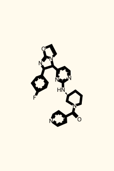 O=C(c1ccncc1)N1CCC[C@@H](Nc2nccc(C3C(c4ccc(F)cc4)N=C4OC=CN43)n2)C1